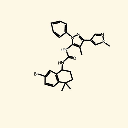 Cc1c(-c2cnn(C)c2)nn(-c2ccccc2)c1NC(=O)NC1CCC(C)(C)c2ccc(Br)cc21